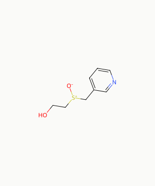 [O-][S+](CCO)Cc1cccnc1